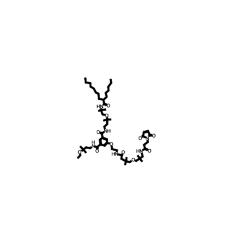 CCCCCCCCC(CCCCCC)C(=O)NC(C)(C)COC(C)(C)CCNC(=O)c1cc(OCCNC(=O)CC(C)(C)COCC(C)(C)CNC(=O)CCN2C(=O)C=CC2=O)cc(C(=O)NCCC(C)(C)OCC)c1